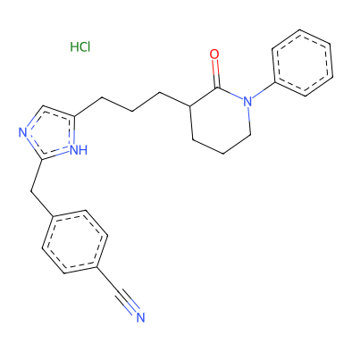 Cl.N#Cc1ccc(Cc2ncc(CCCC3CCCN(c4ccccc4)C3=O)[nH]2)cc1